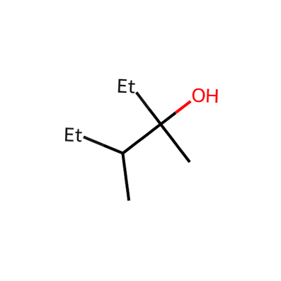 CCC(C)C(C)(O)CC